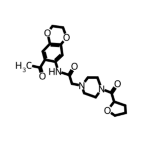 CC(=O)c1cc2c(cc1NC(=O)CN1CCN(C(=O)C3CCCO3)CC1)OCCO2